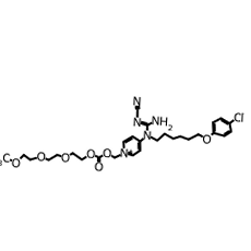 COCCOCCOCCOC(=O)OC[n+]1ccc(N(CCCCCCOc2ccc(Cl)cc2)C(N)=NC#N)cc1